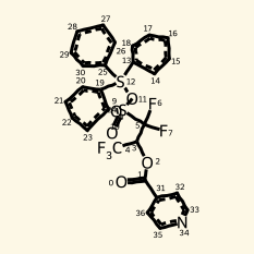 O=C(OC(C(F)(F)F)C(F)(F)S(=O)(=O)OS(c1ccccc1)(c1ccccc1)c1ccccc1)c1ccncc1